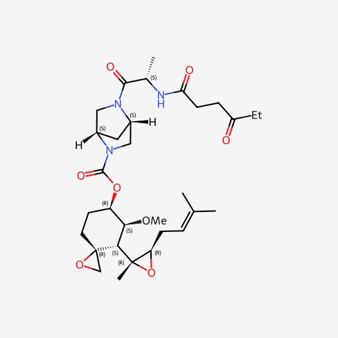 CCC(=O)CCC(=O)N[C@@H](C)C(=O)N1C[C@@H]2C[C@H]1CN2C(=O)O[C@@H]1CC[C@]2(CO2)[C@@H]([C@@]2(C)O[C@@H]2CC=C(C)C)[C@@H]1OC